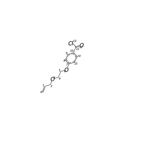 C=CCOCCOc1ccc(C(=O)Cl)cc1